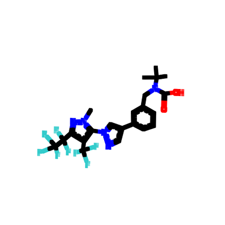 Cn1nc(C(F)(F)C(F)(F)F)c(C(F)(F)F)c1-n1cc(-c2cccc(CN(C(=O)O)C(C)(C)C)c2)cn1